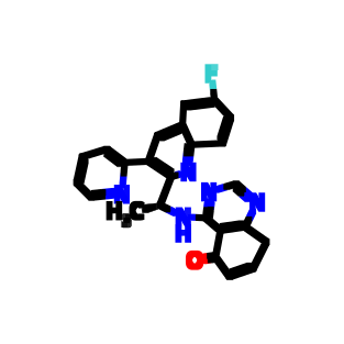 C[C@H](Nc1ncnc2c1C(=O)C=CC2)c1nc2ccc(F)cc2cc1-c1ccccn1